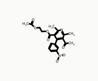 CC(=O)OCCOC(=O)c1c(C)nc(C)c(C(C)=O)c1-c1cccc([N+](=O)[O-])c1